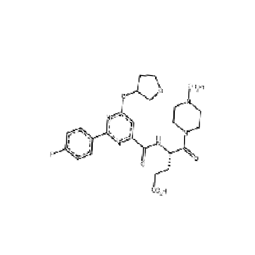 CCOC(=O)N1CCN(C(=O)[C@H](CCC(=O)O)NC(=O)c2cc(OC3CCOC3)nc(-c3ccc(F)cc3)n2)CC1